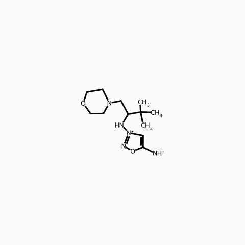 CC(C)(C)C(CN1CCOCC1)N[n+]1cc([NH-])on1